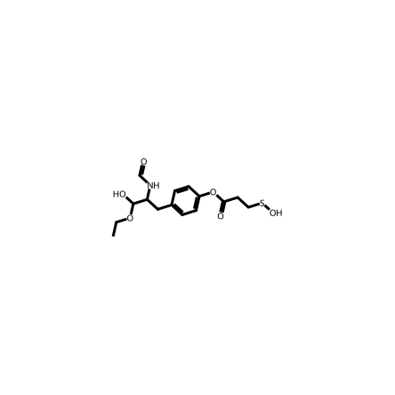 CCOC(O)C(Cc1ccc(OC(=O)CCSO)cc1)NC=O